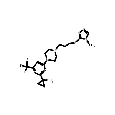 Cn1cnnc1SCCCN1CCN(c2cc(C(F)(F)F)nc(C3(C)CC3)n2)CC1